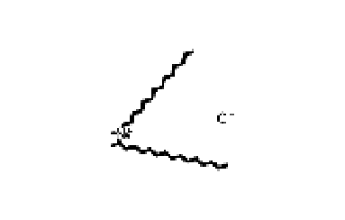 CCCCCCCCCCCCCCC(C)[N+](C)(C)CCCCCCCCCCCCCC.[Cl-]